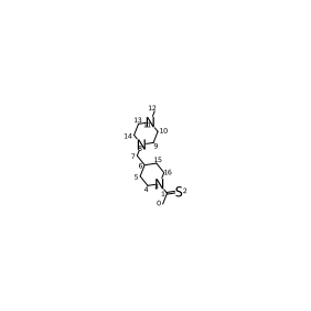 CC(=S)N1CCC(CN2CCN(C)CC2)CC1